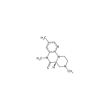 Cc1cnc2c(c1)N(C)C(=S)[C@H]1CN(C)CCN21